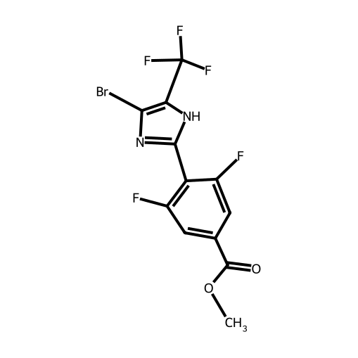 COC(=O)c1cc(F)c(-c2nc(Br)c(C(F)(F)F)[nH]2)c(F)c1